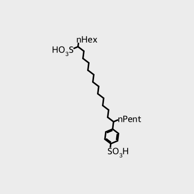 CCCCCCC(CCCCCCCCCCCCC(CCCCC)c1ccc(S(=O)(=O)O)cc1)S(=O)(=O)O